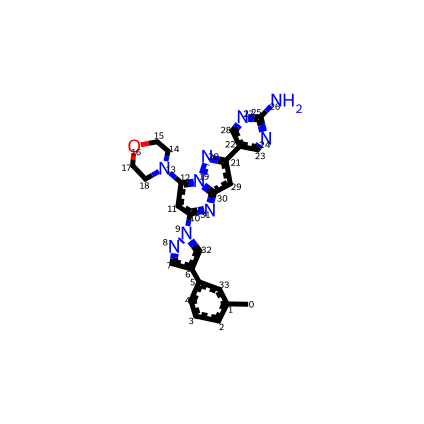 Cc1cccc(-c2cnn(-c3cc(N4CCOCC4)n4nc(-c5cnc(N)nc5)cc4n3)c2)c1